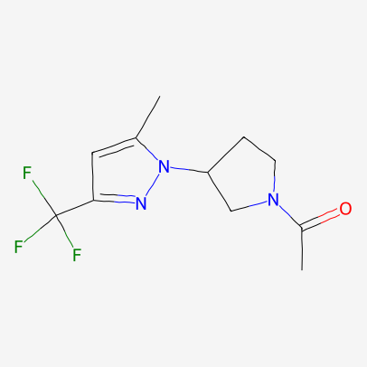 CC(=O)N1CCC(n2nc(C(F)(F)F)cc2C)C1